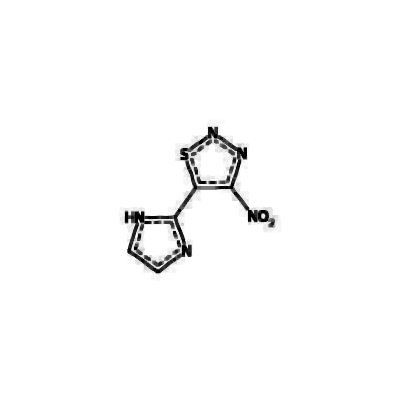 O=[N+]([O-])c1nnsc1-c1ncc[nH]1